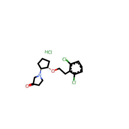 Cl.O=C1CCN([C@H]2CCC[C@@H]2OCCc2c(Cl)cccc2Cl)C1